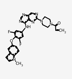 C=CC(=O)N1CCN(c2ncc3ncnc(Nc4cc(F)c(Oc5ccc6c(ccn6C)c5)c(F)c4)c3n2)CC1